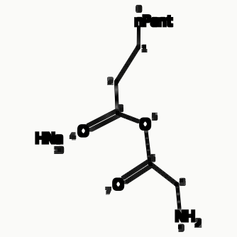 CCCCCCCC(=O)OC(=O)CN.[NaH]